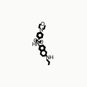 CCCN[C@H]1CCc2cc(NS(=O)(=O)c3ccc(N4CCOCC4)cc3)ccc2C1